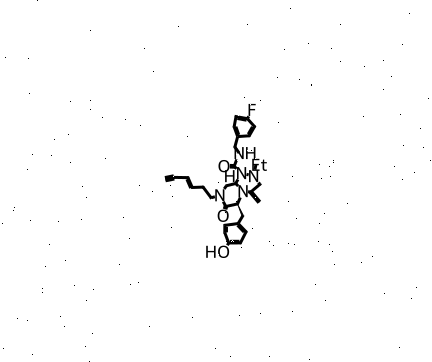 C#C/C=C/CCN1C[C@H]2N(C(=C)CN(CC)N2C(=O)NCc2ccc(F)cc2)[C@@H](Cc2ccc(O)cc2)C1=O